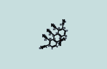 N#Cc1ccc(C#N)c(C(C#N)c2c(C#N)ccc(C#N)c2C#N)c1C#N